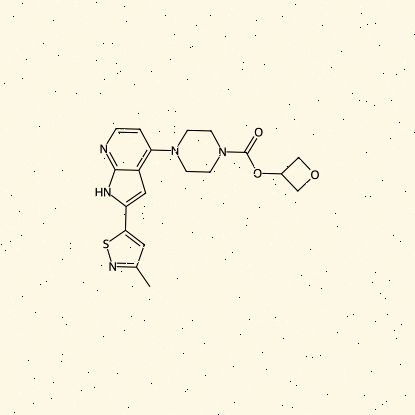 Cc1cc(-c2cc3c(N4CCN(C(=O)OC5COC5)CC4)ccnc3[nH]2)sn1